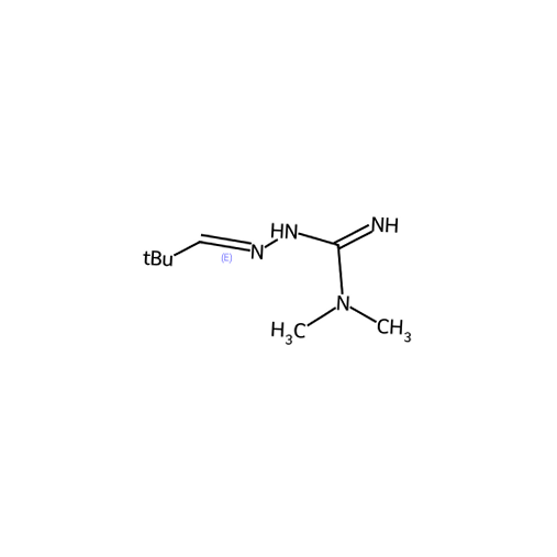 CN(C)C(=N)N/N=C/C(C)(C)C